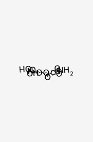 NS(=O)(=O)c1ccc(C(=O)OCCOCCON(O)O)cc1